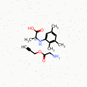 C#CCOC(=O)CN.Cc1cc(C)c(C)c(N[C@@H](C)C(=O)O)c1